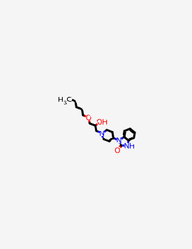 CCCCCOCC(O)CN1CCC(n2c(=O)[nH]c3ccccc32)CC1